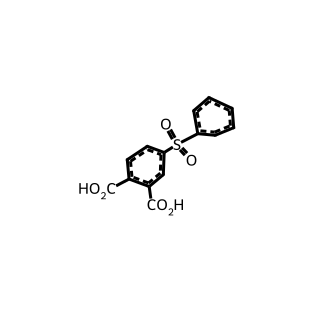 O=C(O)c1ccc(S(=O)(=O)c2ccccc2)cc1C(=O)O